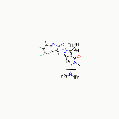 [2H]C([2H])([2H])c1[nH]c(/C=C2\C(=O)Nc3c2cc(F)c(C)c3C)c(C(C)C)c1C(=O)N(C)CC(C)(C)N(CCC)C(C)C